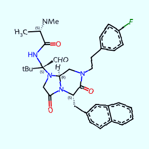 CN[C@@H](C)C(=O)N[C@](C=O)(N1CC(=O)N2[C@@H](Cc3ccc4ccccc4c3)C(=O)N(CCc3ccc(F)cc3)C[C@@H]21)C(C)(C)C